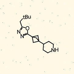 CC(C)(C)Cc1nnc(C23CC(C4CCNCC4)(C2)C3)o1